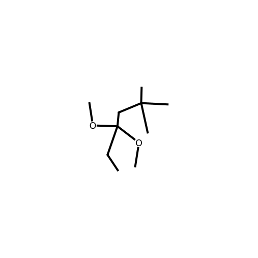 CCC(CC(C)(C)C)(OC)OC